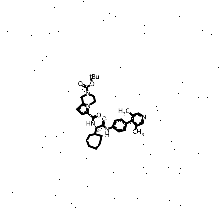 Cc1cncc(C)c1-c1ccc(NC(=O)[C@@H](NC(=O)c2ccc3n2CCN(C(=O)OC(C)(C)C)C3)C2CCCCCC2)cc1